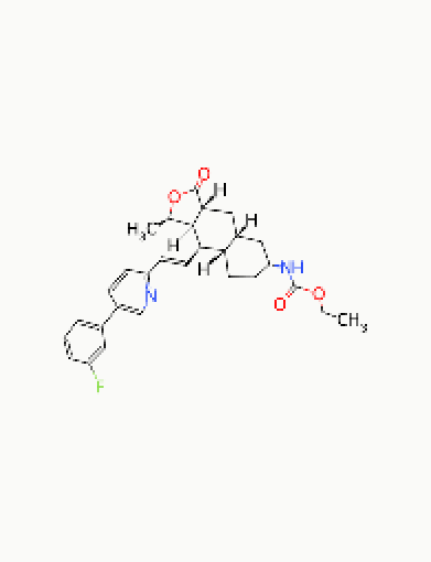 CCOC(=O)N[C@H]1CC[C@H]2[C@@H](C1)C[C@H]1C(=O)O[C@H](C)[C@@H]1[C@@H]2/C=C/c1ccc(-c2cccc(F)c2)cn1